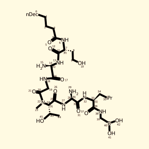 CCCCCCCCCCCCCC(=O)N[C@H](CCO)C(=O)N[C@H](N)C(=O)NCC(=O)N(C)[C@H](C(=O)N[C@@H](N)C(=O)N[C@@H](CC(C)C)C(=O)NCB(O)O)C(C)O